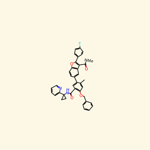 CNC(=O)c1c(-c2ccc(F)cc2)oc2ccc(-c3cc(C(=O)NC4(c5ccccn5)CC4)c(OCc4ccccc4)cc3C)cc12